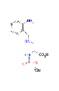 CC(C)(C)OC(=O)NC(CNCc1ccccc1N)C(=O)O